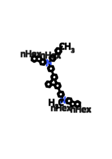 CCCCCCC1(CCCCCC)c2ccccc2-c2ccc(N(C)c3ccc(-c4ccc5c6ccc(-c7ccc(N(c8ccc(-c9ccc(C)cc9)cc8)c8ccc9c(c8)C(CCCCCC)(CCCCCC)c8ccccc8-9)cc7)cc6c6ccccc6c5c4)cc3)cc21